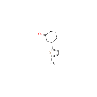 Cc1ccc(C2CCCC(=O)C2)s1